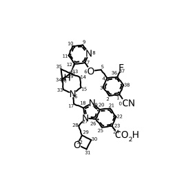 N#Cc1ccc(COc2ncccc2[C@@]23CCN(Cc4nc5ccc(C(=O)O)cc5n4CC4CCO4)C[C@@H]2C3)c(F)c1